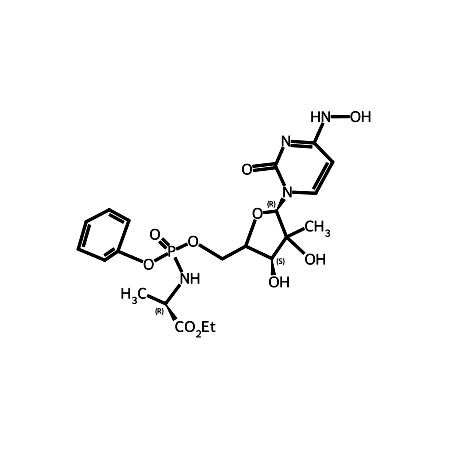 CCOC(=O)[C@@H](C)NP(=O)(OCC1O[C@@H](n2ccc(NO)nc2=O)C(C)(O)[C@H]1O)Oc1ccccc1